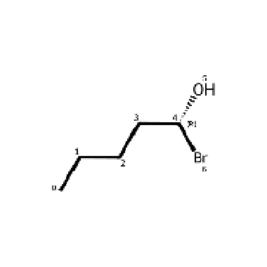 CCCC[C@H](O)Br